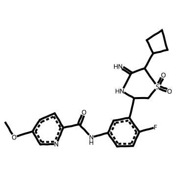 COc1ccc(C(=O)Nc2ccc(F)c(C3CS(=O)(=O)C(C4CCC4)C(=N)N3)c2)nc1